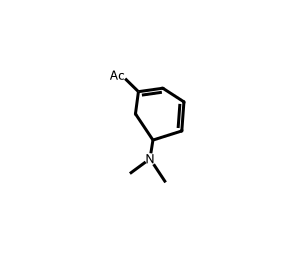 CC(=O)C1=CC=CC(N(C)C)C1